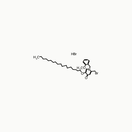 Br.CCCCCCCCCCCCCCCCCCOc1cn(Cc2ccccc2OC)c(CBr)cc1=O